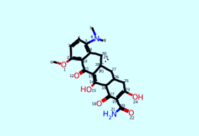 COc1ccc(N(C)C)c2c1C(=O)C1=C(O)C3C(=O)C(C(N)=O)=C(O)CC3C[C@]1(C)C2